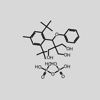 Cc1cc(C(C)(C)C)c(C(Oc2ccccc2)C(CO)(CO)CO)c(C(C)(C)C)c1.O=P(O)(O)OP(=O)(O)O